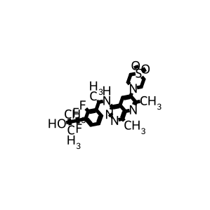 Cc1nc2c(C)nnc(N[C@H](C)c3cccc(C(F)(F)C(C)(C)O)c3F)c2cc1N1CCS(=O)(=O)CC1